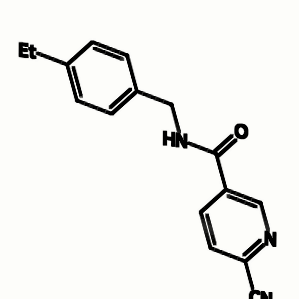 CCc1ccc(CNC(=O)c2ccc(C#N)nc2)cc1